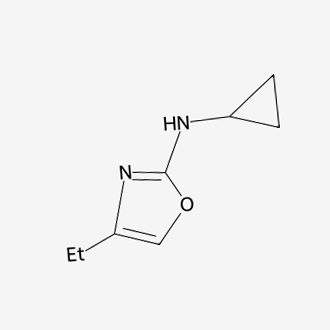 CCc1coc(NC2CC2)n1